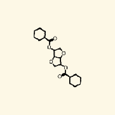 O=C(OC1COC2C(OC(=O)C3CCCCC3)COC12)C1CCCCC1